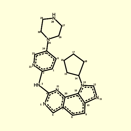 c1cc(Nc2ncc3ccc4ncn(C5CCCC5)c4c3n2)ncc1N1CCNCC1